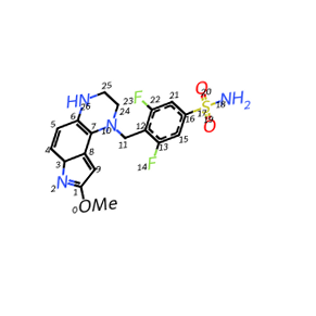 COC1=NC2C=CC3=C(C2=C1)N(Cc1c(F)cc(S(N)(=O)=O)cc1F)CCN3